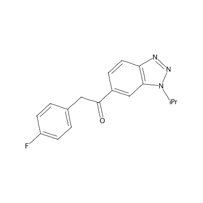 CC(C)n1nnc2ccc(C(=O)Cc3ccc(F)cc3)cc21